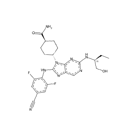 CC[C@@H](CO)Nc1ncc2nc(Nc3c(F)cc(C#N)cc3F)n([C@H]3CC[C@H](C(N)=O)CC3)c2n1